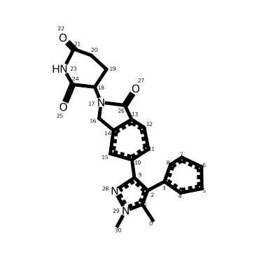 Cc1c(-c2ccccc2)c(-c2ccc3c(c2)CN(C2CCC(=O)NC2=O)C3=O)nn1C